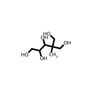 CC(CO)(CO)C(O)C(O)CO